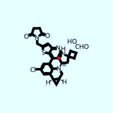 O=C1CCC(=O)N1Cc1cc2nccc(-c3cc(Cl)cc4c3N([C@H]3CNC5(CCC5)C3)C[C@H]3C[C@@H]43)c2s1.O=CO